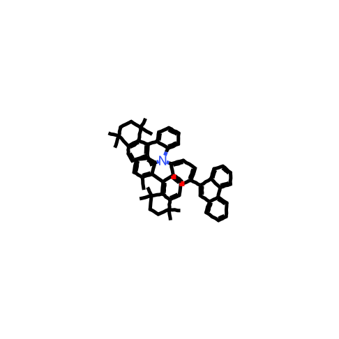 Cc1cccc(N(c2ccc(-c3cc4ccccc4c4ccccc34)cc2)c2ccccc2-c2c(C)ccc3c2C(C)(C)CCC3(C)C)c1-c1cccc2c1C(C)(C)CCC2(C)C